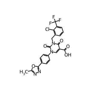 Cc1nnc(-c2ccc(-n3cc(C(=O)O)c(=O)n(Cc4cccc(C(F)(F)F)c4Cl)c3=O)cc2)o1